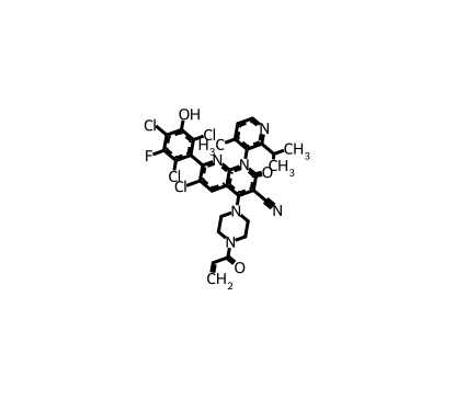 C=CC(=O)N1CCN(c2c(C#N)c(=O)n(-c3c(C)ccnc3C(C)C)c3nc(-c4c(Cl)c(O)c(Cl)c(F)c4Cl)c(Cl)cc23)CC1